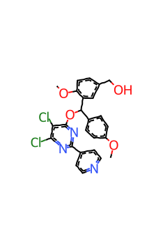 COc1ccc(C(Oc2nc(-c3ccncc3)nc(Cl)c2Cl)c2cc(CO)ccc2OC)cc1